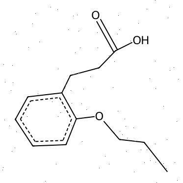 CCCOc1ccccc1CCC(=O)O